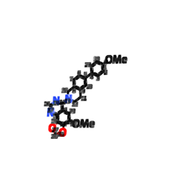 COc1ccc(-c2ccc3c(c2)CCN(c2ncnc4c5c(c(OC)cc24)OCO5)C3)cc1